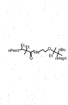 CCCCCCCC(C)(CCCC)C(C)(CC)OCCNCC(=O)C(C)(CC)C(CC)CCCCC